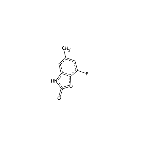 [CH2]c1cc(F)c2oc(=O)[nH]c2c1